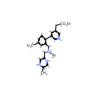 CCOC(=O)Cc1cncc(-c2ccc(C)cc2CN(Cc2cnc(C)cn2)C(C)=O)c1